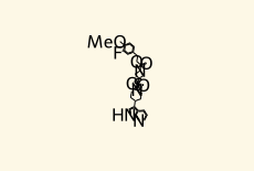 COc1ccc(COC(=O)N2CC(S(=O)(=O)N3CCC(c4c[nH]c5ncccc45)CC3)C2)cc1F